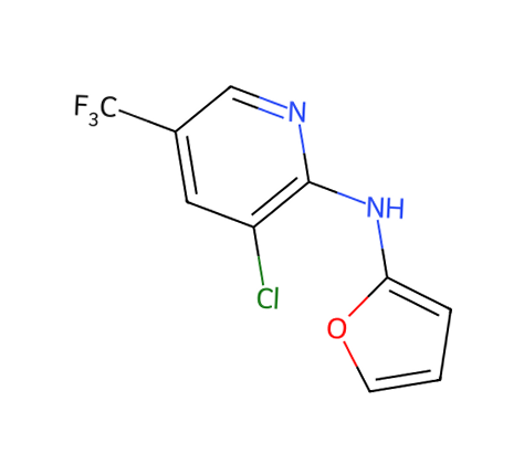 FC(F)(F)c1cnc(Nc2ccco2)c(Cl)c1